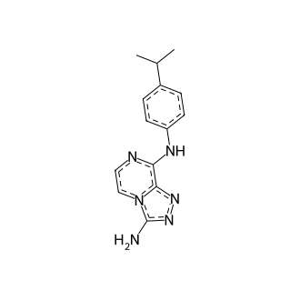 CC(C)c1ccc(Nc2nccn3c(N)nnc23)cc1